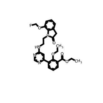 CCOC(=O)c1cccc(-c2cc(NCCN3C(=O)Cc4cccc(OCF)c43)ncn2)c1OCC